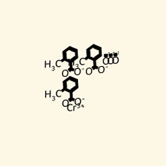 Cc1ccccc1C(=O)[O-].Cc1ccccc1C(=O)[O-].Cc1ccccc1C(=O)[O-].[C]=O.[C]=O.[C]=O.[Cr+3]